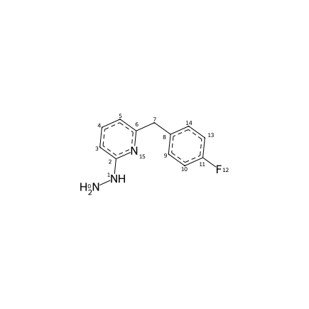 NNc1cccc(Cc2ccc(F)cc2)n1